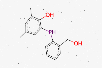 Cc1cc(C)c(O)c(Pc2ccccc2CO)c1